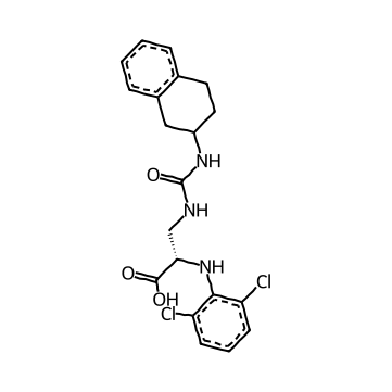 O=C(NC[C@H](Nc1c(Cl)cccc1Cl)C(=O)O)NC1CCc2ccccc2C1